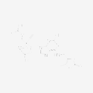 C#CC(COC(=O)C(C)C)(OC)[C@H](Cn1cnc2c(NCc3oc(=O)oc3C)nc(Cl)nc21)OC(=O)C(C)C